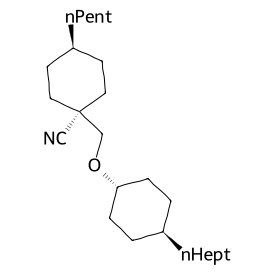 CCCCCCC[C@H]1CC[C@H](OC[C@]2(C#N)CC[C@H](CCCCC)CC2)CC1